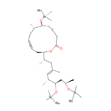 CC(=C[C@@H](C)[C@@H](C[C@@H](C)O[Si](C)(C)C(C)(C)C)O[Si](C)(C)C(C)(C)C)C[C@H](C)[C@H]1CC=CC[C@H](C)[C@@H](O[Si](C)(C)C(C)(C)C)CCCC(=O)O1